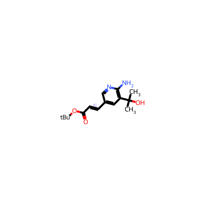 CC(C)(C)OC(=O)/C=C/c1cnc(N)c(C(C)(C)O)c1